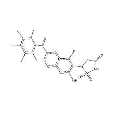 C=C(c1ccc2cc(O)c(N3CC(=O)NS3(=O)=O)c(F)c2c1)c1c(C)c(C)c(C)c(C)c1C